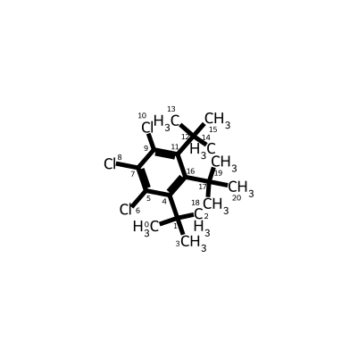 CC(C)(C)c1c(Cl)c(Cl)c(Cl)c(C(C)(C)C)c1C(C)(C)C